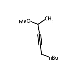 [CH2]CCCCC#CC(C)OC